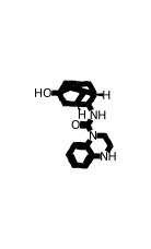 O=C(NC1[C@@H]2CC3C[C@H]1CC(O)(C3)C2)N1CCNc2ccccc21